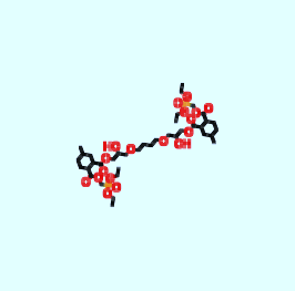 CCOP(=O)(COC(=O)C1CCC(C)CC1C(=O)OCC(O)COCCCCOCC(O)COC(=O)C1CC(C)CCC1C(=O)OCP(=O)(OCC)OCC)OCC